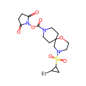 CCC1CC1S(=O)(=O)N1CCOC2(CCN(C(=O)ON3C(=O)CCC3=O)CC2)C1